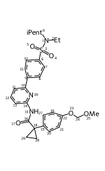 CCCC(C)N(CC)S(=O)(=O)c1ccc(-c2cccc(NC(=O)C3(c4ccc(OCOC)cc4)CC3)n2)cc1